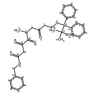 CN(CC(=O)CCO[Si](c1ccccc1)(c1ccccc1)C(C)(C)C)C(=O)C(=O)CC(=O)OCc1ccccc1